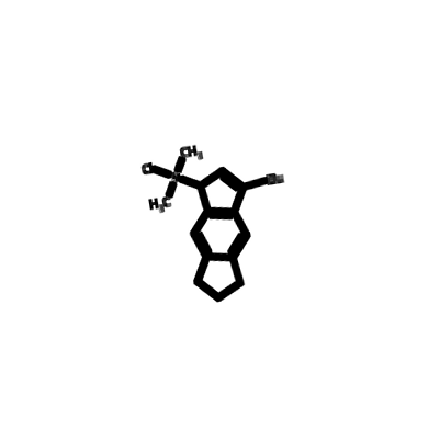 CCC(C)C1=CC([Si](C)(C)Cl)c2cc3c(cc21)CCC3